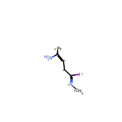 C/N=C(\I)C/C=C(\N)C(C)C